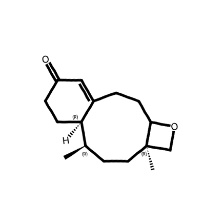 C[C@@H]1CC[C@]2(C)COC2CCC2=CC(=O)CC[C@@H]21